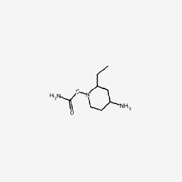 CCC1CC(N)CCN1OC(N)=O